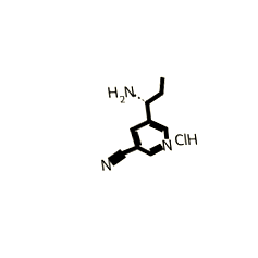 CC[C@@H](N)c1cncc(C#N)c1.Cl